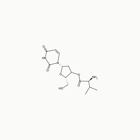 CC(C)[C@H](N)C(=O)OC1C[C@@H](n2ccc(=O)[nH]c2=O)O[C@H]1CO